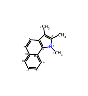 Cc1c(C)n(C)c2c1ccc1ccccc12